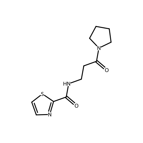 O=C(NCCC(=O)N1CCCC1)c1nccs1